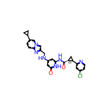 O=C(Nc1cc(NCc2cn3cc(C4CC4)ccc3n2)cc(=O)[nH]1)[C@H]1CC1c1cc(Cl)ccn1